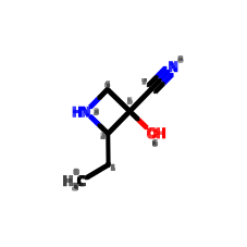 CCC1NCC1(O)C#N